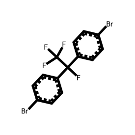 FC(F)(F)C(F)(c1ccc(Br)cc1)c1ccc(Br)cc1